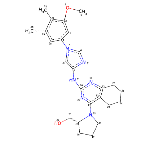 COc1cc(-n2cnc(Nc3nc4c(c(N5CCC[C@@H]5CO)n3)CCCC4)c2)cc(C)c1C